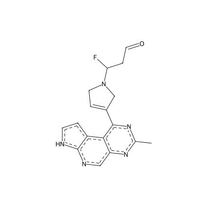 Cc1nc(C2=CCN(C(F)CC=O)C2)c2c(cnc3[nH]ccc32)n1